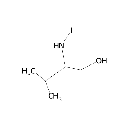 CC(C)C(CO)NI